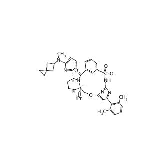 Cc1cccc(C)c1-c1cc2nc(n1)NS(=O)(=O)c1cccc(c1)C(=O)N1[C@@H](c3cccc(N(C)C4CC5(CC5)C4)n3)CC[C@@H](C(C)C)[C@H]1CO2